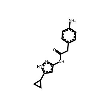 Nc1ccc(CC(=O)Nc2cc(C3CC3)[nH]n2)cc1